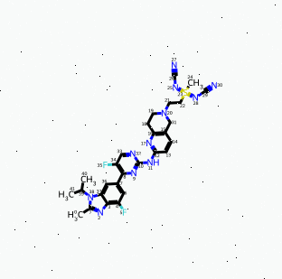 Cc1nc2c(F)cc(-c3nc(Nc4ccc5c(n4)CCN(CCS(C)(=NC#N)=NC#N)C5)ncc3F)cc2n1C(C)C